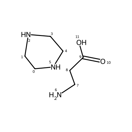 C1CNCCN1.NCCC(=O)O